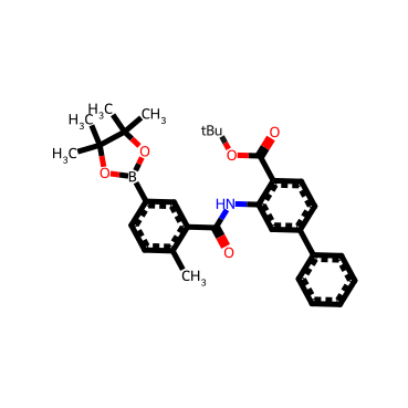 Cc1ccc(B2OC(C)(C)C(C)(C)O2)cc1C(=O)Nc1cc(-c2ccccc2)ccc1C(=O)OC(C)(C)C